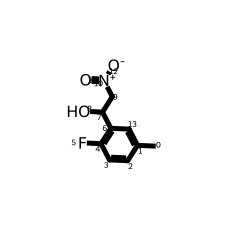 Cc1ccc(F)c(C(O)C[N+](=O)[O-])c1